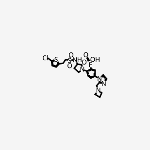 O=C1C(NS(=O)(=O)CCc2ccc(Cl)s2)CCN1c1ccc(-n2ccnc2CN2CCC2)cc1F.O=CO